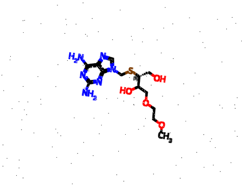 COCCOCC(O)[C@@H](CO)SCn1cnc2c(N)nc(N)nc21